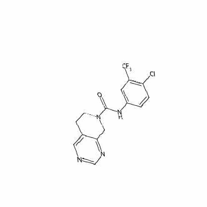 O=C(Nc1ccc(Cl)c(C(F)(F)F)c1)N1CCc2cncnc2C1